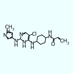 C=CC(=O)NC1CCC(NC2=C(Cl)C=NC(Nc3cnn(C)c3)N2)CC1